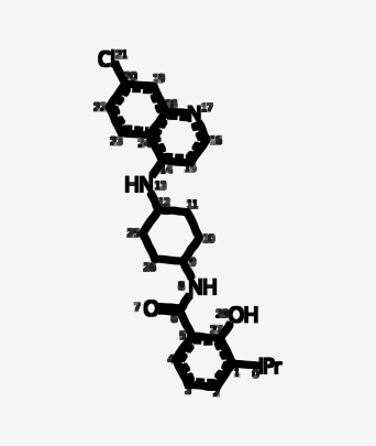 CC(C)c1cccc(C(=O)NC2CCC(Nc3ccnc4cc(Cl)ccc34)CC2)c1O